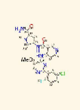 COc1cnc(-c2cc(Cl)ccc2F)nc1Nc1ccncc1C(=O)NC1CC(C(N)=O)N(C)C1C